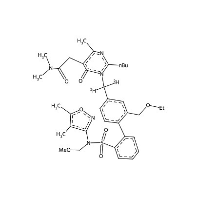 [2H]C([2H])(c1ccc(-c2ccccc2S(=O)(=O)N(COC)c2noc(C)c2C)c(COCC)c1)n1c(CCCC)nc(C)c(CC(=O)N(C)C)c1=O